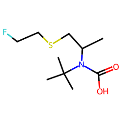 CC(CSCCF)N(C(=O)O)C(C)(C)C